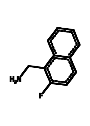 NCc1c(F)ccc2ccccc12